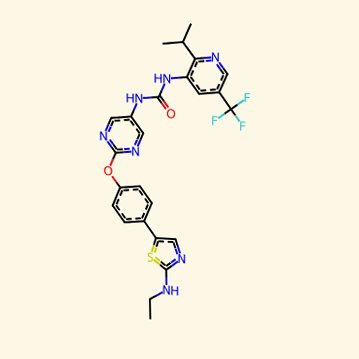 CCNc1ncc(-c2ccc(Oc3ncc(NC(=O)Nc4cc(C(F)(F)F)cnc4C(C)C)cn3)cc2)s1